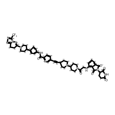 O=C1CCC(N2C(=O)c3cccc(NCC(=O)N4CCC(N5CCC(C#Cc6ccc(C(=O)Nc7ccc(C8CCN(C9=Nn%10c(nnc%10C(F)(F)F)CC9)CC8)cc7)nc6)CC5)CC4)c3C2=O)C(=O)N1